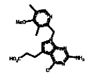 COc1c(C)cnc(Cn2cc(CCC(=O)O)c3c(Cl)nc(N)nc32)c1C